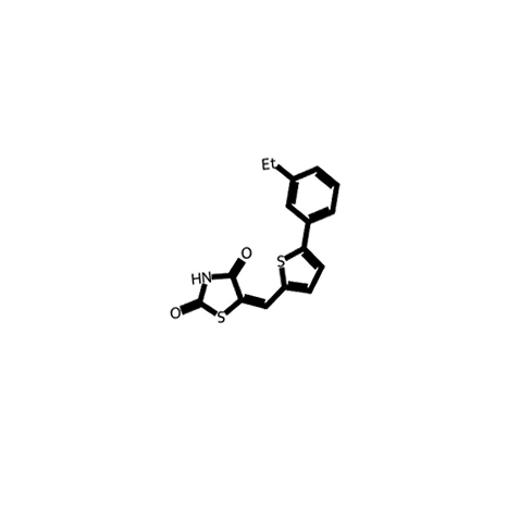 CCc1cccc(-c2ccc(C=C3SC(=O)NC3=O)s2)c1